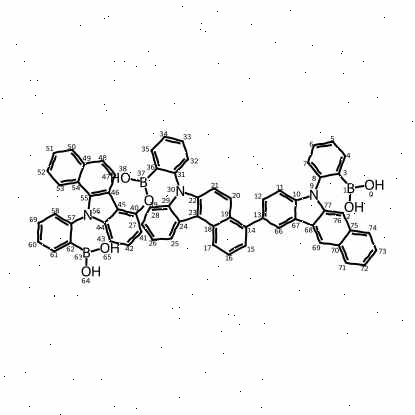 OB(O)c1ccccc1-n1c2ccc(-c3cccc4c3ccc3c4c4ccccc4n3-c3ccccc3B(O)Oc3cccc4c3c3ccc5ccccc5c3n4-c3ccccc3B(O)O)cc2c2cc3ccccc3cc21